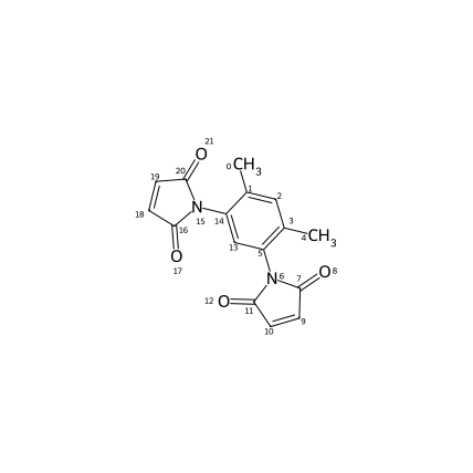 Cc1cc(C)c(N2C(=O)C=CC2=O)cc1N1C(=O)C=CC1=O